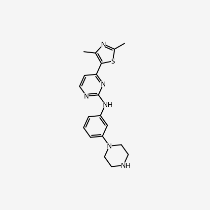 Cc1nc(C)c(-c2ccnc(Nc3cccc(N4CCNCC4)c3)n2)s1